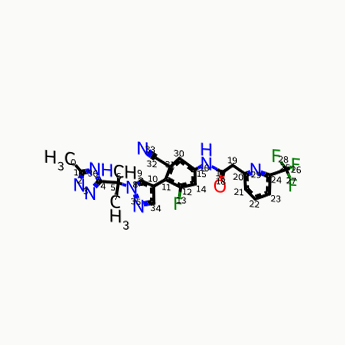 Cc1nnc(C(C)(C)n2cc(-c3c(F)cc(NC(=O)Cc4cccc(C(F)(F)F)n4)cc3C#N)cn2)[nH]1